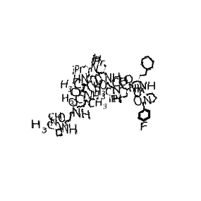 CC(C)C[C@H](NC(=O)[C@H](CCC1CCCCC1)NC(=O)[C@@H]1CCCN1C(=O)c1ccc(F)cc1)C(=O)NC(C)(C)C(=O)N[C@@H](CC(C)C)C(=O)N[C@@H](CC(C)C)C(=O)NC(C)(C)C(=O)NC(C)(C)CC(=O)NCCC(=O)NC1(CN(C)C)CCC1